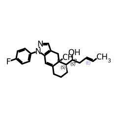 C/C=C/C[C@H](O)[C@H]1CCCC2=Cc3c(cnn3-c3ccc(F)cc3)C[C@@]21C